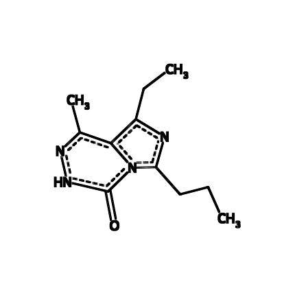 CCCc1nc(CC)c2c(C)n[nH]c(=O)n12